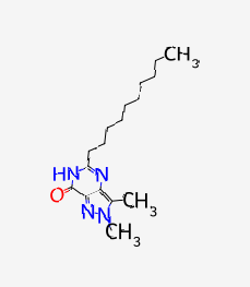 CCCCCCCCCCc1nc2c(C)n(C)nc2c(=O)[nH]1